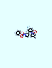 CC(C)CC(C1CCN(C(=O)Oc2ccccc2)CC1)N(C=O)c1ccc(F)cc1